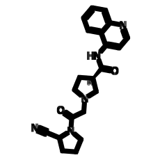 N#CC1CCCN1C(=O)CN1CC[C@@H](C(=O)Nc2ccnc3ccccc23)C1